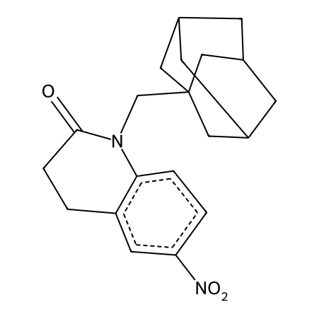 O=C1CCc2cc([N+](=O)[O-])ccc2N1CC12CC3CC(CC(C3)C1)C2